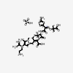 Cn1c(N)c(N(CCN)C(=N)N)c[n+]1CC1=C(C(=O)O)N2C(=O)[C@@H](NC(=O)/C(=N\OC(C)(C)C(=O)O)c3nsc(N)n3)[C@H]2SC1.O=S(=O)([O-])O